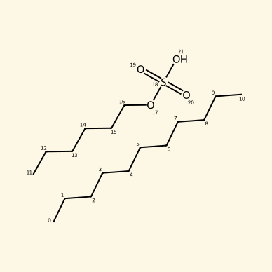 CCCCCCCCCCC.CCCCCCOS(=O)(=O)O